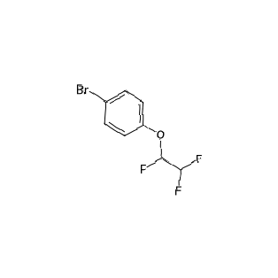 FC(F)C(F)Oc1ccc(Br)cc1